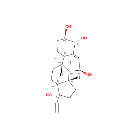 C#C[C@]1(O)CC[C@H]2[C@@H]3[C@H](O)C=C4[C@@H](O)[C@H](O)CC[C@]4(C)[C@H]3CC[C@@]21C